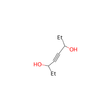 CCC(O)C#CC(O)CC